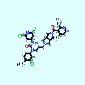 Cc1ccc(N(CCCN2CC3=CN(C(=O)c4c(C)ccnc4C)CC3C2)C(=O)Nc2cc(Cl)nc(Cl)c2)cc1Cl